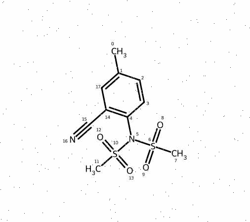 Cc1ccc(N(S(C)(=O)=O)S(C)(=O)=O)c(C#N)c1